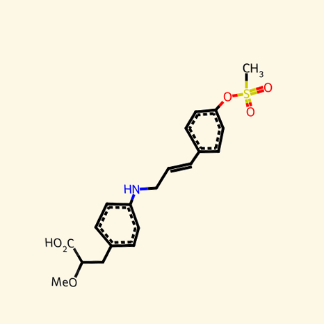 COC(Cc1ccc(NCC=Cc2ccc(OS(C)(=O)=O)cc2)cc1)C(=O)O